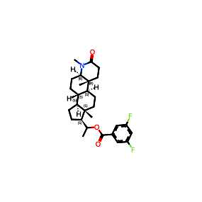 CC(OC(=O)c1cc(F)cc(F)c1)[C@H]1CC[C@H]2[C@@H]3CC[C@H]4N(C)C(=O)CC[C@]4(C)[C@H]3CC[C@]12C